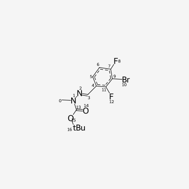 CN(/N=C/c1ccc(F)c(Br)c1F)C(=O)OC(C)(C)C